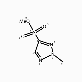 COS(=O)(=O)c1cnn(C)n1